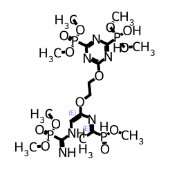 CO[PH](=O)/C(C)=N/C(=C\NC(=N)P(=O)(OC)OC)OCCOc1nc(P(=O)(OC)OC)nc([PH](O)(OC)OC)n1